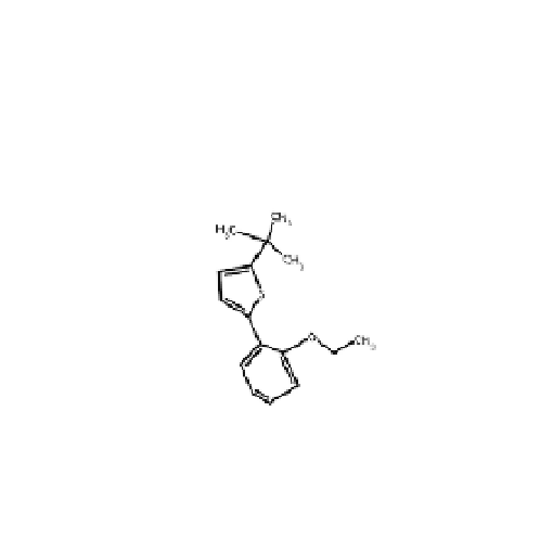 CCOc1ccccc1-c1ccc(C(C)(C)C)s1